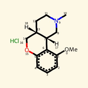 COc1cccc2c1[C@H]1CN(C)CC[C@H]1CO2.Cl